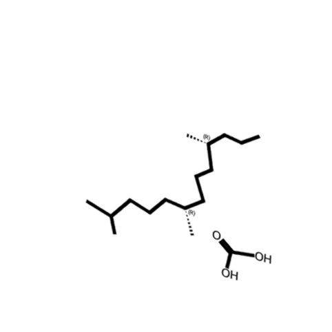 CCC[C@@H](C)CCC[C@H](C)CCCC(C)C.O=C(O)O